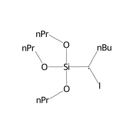 CCCC[C](I)[Si](OCCC)(OCCC)OCCC